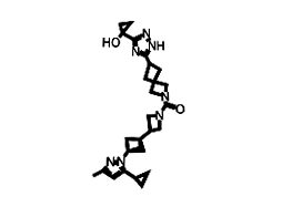 Cc1cc(C2CC2)n(C23CC(C4CN(C(=O)N5CC6(CC(c7nc(C8(O)CC8)n[nH]7)C6)C5)C4)(C2)C3)n1